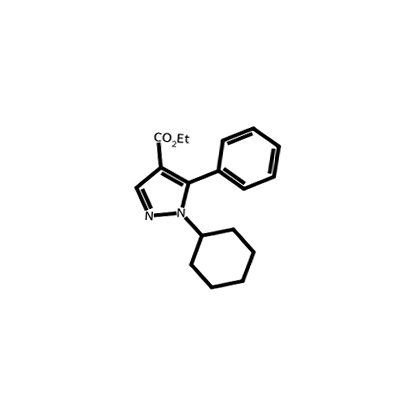 CCOC(=O)c1cnn(C2CCCCC2)c1-c1ccccc1